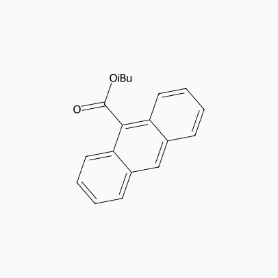 CC(C)COC(=O)c1c2ccccc2cc2ccccc12